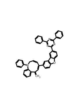 C=C1/C=C(c2ccc3oc4ccc(-c5nc(-c6ccccc6)nc(-c6ccccc6)n5)cc4c3c2)\C=C/CN(c2ccccc2)c2ccccc21